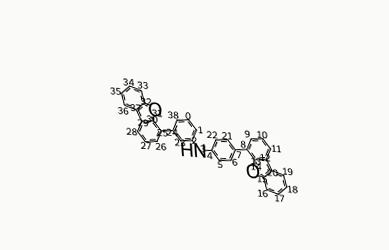 c1cc(Nc2ccc(-c3cccc4c3oc3ccccc34)cc2)cc(-c2cccc3c2oc2ccccc23)c1